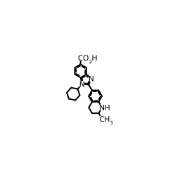 CC1CCc2cc(-c3nc4cc(C(=O)O)ccc4n3C3CCCCC3)ccc2N1